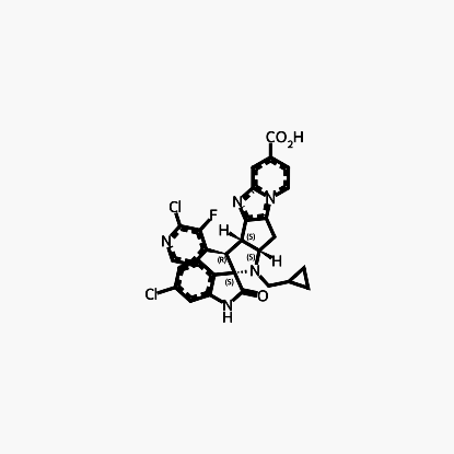 O=C(O)c1ccn2c3c(nc2c1)[C@@H]1[C@H](C3)N(CC2CC2)[C@@]2(C(=O)Nc3cc(Cl)ccc32)[C@H]1c1ccnc(Cl)c1F